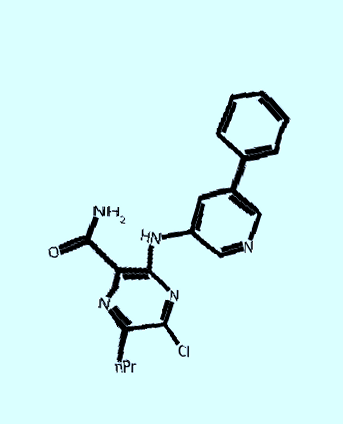 CCCc1nc(C(N)=O)c(Nc2cncc(-c3ccccc3)c2)nc1Cl